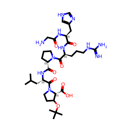 CC(C)C[C@H](NC(=O)[C@@H]1CCCN1C(=O)[C@H](CCCNC(=N)N)NC(=O)[C@H](Cc1c[nH]cn1)NC(=O)CN)C(=O)N1CCC(OC(C)(C)C)[C@H]1C(=O)O